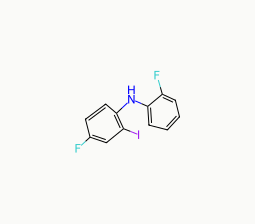 Fc1ccc(Nc2ccccc2F)c(I)c1